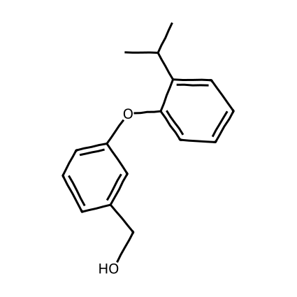 CC(C)c1ccccc1Oc1cccc(CO)c1